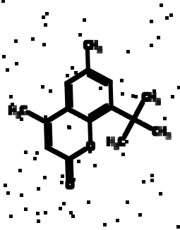 Cc1cc(C(C)(C)C)c2oc(=O)cc(C)c2c1